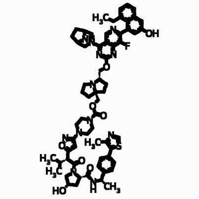 CCc1cccc2cc(O)cc(-c3ncc4c(N5CC6CCC(C5)N6)nc(OC[C@@H]5CC[C@]6(COC(=O)N7CCN(c8cc([C@H](C(=O)N9C[C@H](O)C[C@H]9C(=O)N[C@@H](C)c9ccc(-c%10scnc%10C)cc9)C(C)C)on8)CC7)CCCN56)nc4c3F)c12